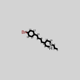 CCC[SiH]1CCC(CCCCC2CCC(Br)CC2)CC1